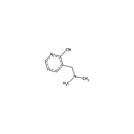 CN(C)Cc1cccnc1C#N